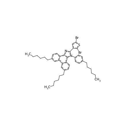 CCCCCCc1ccc(-n2c(-c3cc(Br)sc3Br)nc3c4ccc(CCCCCC)cc4c4cc(CCCCCC)ccc4c32)cc1